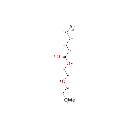 COCCOCCOC(=O)CCCCC(C)=O